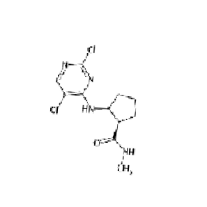 CNC(=O)[C@@H]1CCC[C@@H]1Nc1nc(Cl)ncc1Cl